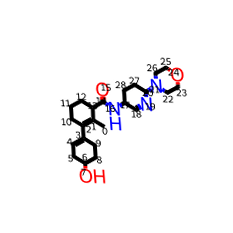 CC1=C(C2=CCC(O)CC2)CCCC1C(=O)NC1C=NC(N2CCOCC2)CC1